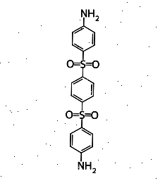 Nc1ccc(S(=O)(=O)c2ccc(S(=O)(=O)c3ccc(N)cc3)cc2)cc1